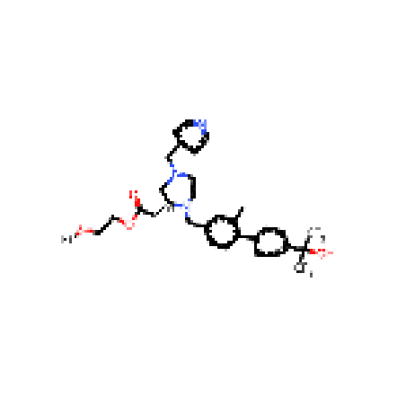 CCOCCOC(=O)C[C@@H]1CN(Cc2ccncc2)CCN1Cc1ccc(-c2ccc(C(O)(C(F)(F)F)C(F)(F)F)cc2)c(C)c1